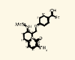 CCC(O)C1CCC(OCC2C(NSC)CCc3ccc(C)c(=O)n32)CC1